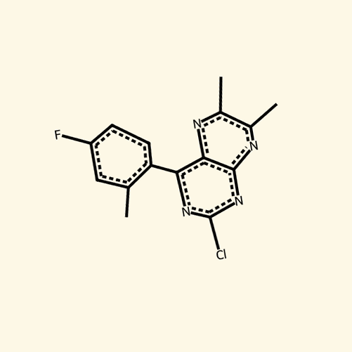 Cc1cc(F)ccc1-c1nc(Cl)nc2nc(C)c(C)nc12